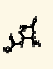 NC(=O)OC1CNC(=O)CC1N